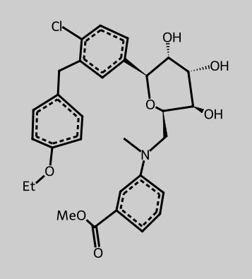 CCOc1ccc(Cc2cc([C@@H]3O[C@H](CN(C)c4cccc(C(=O)OC)c4)[C@H](O)[C@@H](O)[C@H]3O)ccc2Cl)cc1